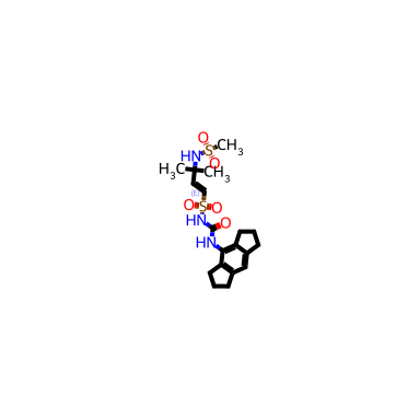 CC(C)(/C=C/S(=O)(=O)NC(=O)Nc1c2c(cc3c1CCC3)CCC2)NS(C)(=O)=O